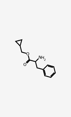 NC(Cc1ccccc1)C(=O)OCC1CC1